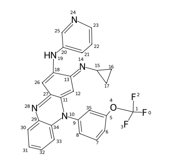 FC(F)(F)Oc1cccc(-n2c3cc(=NC4CC4)c(Nc4cccnc4)cc-3nc3ccccc32)c1